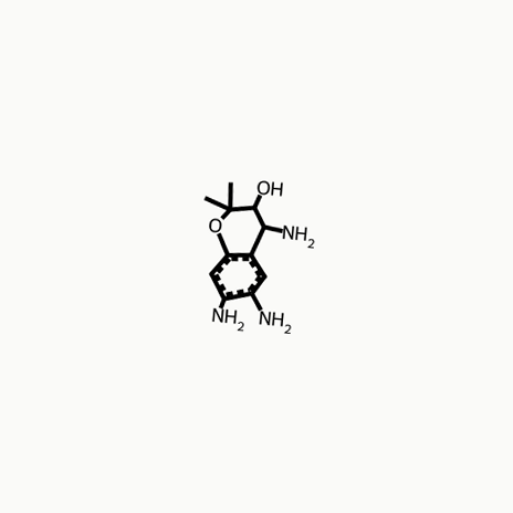 CC1(C)Oc2cc(N)c(N)cc2C(N)C1O